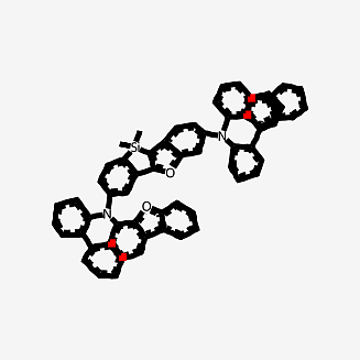 C[Si]1(C)c2ccc(N(c3ccccc3-c3ccccc3)c3cccc4c3oc3ccccc34)cc2-c2oc3cc(N(c4ccccc4-c4ccccc4)c4cccc5c4oc4ccccc45)ccc3c21